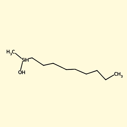 CCCCCCCCC[SiH](C)O